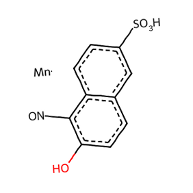 O=Nc1c(O)ccc2cc(S(=O)(=O)O)ccc12.[Mn]